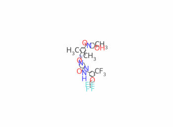 Cc1cc(C(=O)N2CCC(C)(O)CC2)cc(C)c1/C=C/ON1CCC2(CC1)N=C(c1cc(OCC(F)(F)C(F)F)cc(C(F)(F)F)c1)NC2=O